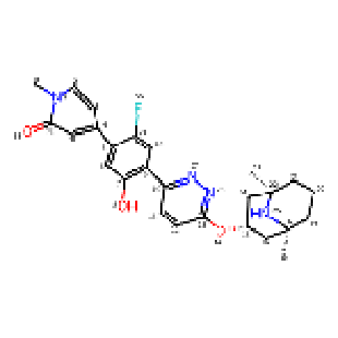 Cn1ccc(-c2cc(O)c(-c3ccc(O[C@H]4C[C@]5(C)CCC[C@](C)(C4)N5)nn3)cc2F)cc1=O